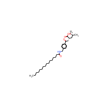 CCCCCCCCCCCCCCCC(=O)NCc1ccc(C(=O)C[C@@H](CC(C)C)C(=O)O)cc1